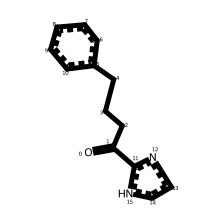 O=C(CCCc1ccccc1)c1ncc[nH]1